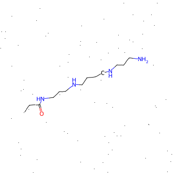 CCC(=O)NCCCNCCCCNCCCN